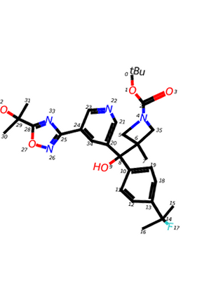 CC(C)(C)OC(=O)N1CC(C)(C(O)(c2ccc(C(C)(C)F)cc2)c2cncc(-c3noc(C(C)(C)O)n3)c2)C1